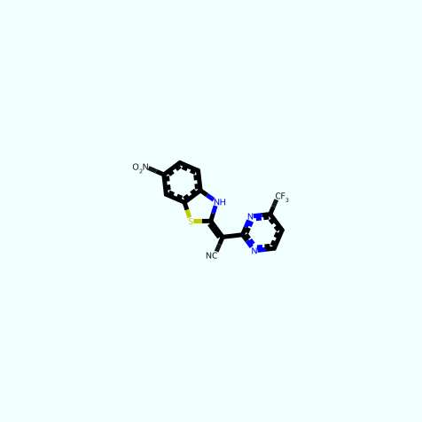 N#CC(=C1Nc2ccc([N+](=O)[O-])cc2S1)c1nccc(C(F)(F)F)n1